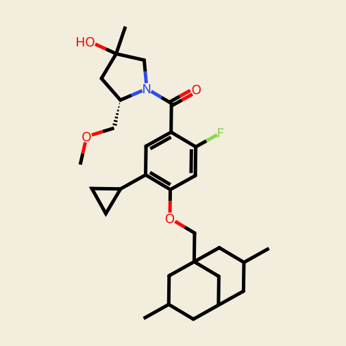 COC[C@@H]1CC(C)(O)CN1C(=O)c1cc(C2CC2)c(OCC23CC(C)CC(CC(C)C2)C3)cc1F